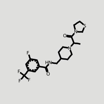 CC(C(=O)N1CCSC1)N1CCC(CNC(=O)c2cc(F)cc(C(F)(F)F)c2)CC1